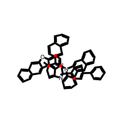 CC1C/C=C(c2c(-n3c4ccccc4c4cc5ccccc5cc43)ccc3oc4cc5ccccc5cc4c23)/N=C(c2ccc(-c3ccccc3)cc2)\N=C/1c1ccc2ccccc2c1